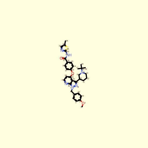 COc1ccc(Cn2nc(C3CCCN(C(C)(C)C)C3)c3c(Oc4ccc(C(=O)Nc5ncc(C)s5)cc4)ccnc32)cc1